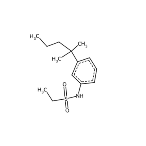 CCCC(C)(C)c1cccc(NS(=O)(=O)CC)c1